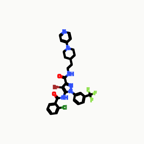 O=C(Nc1c(Br)c(C(=O)NCCC2CCN(c3ccncc3)CC2)nn1-c1cccc(C(F)(F)F)c1)c1ccccc1Cl